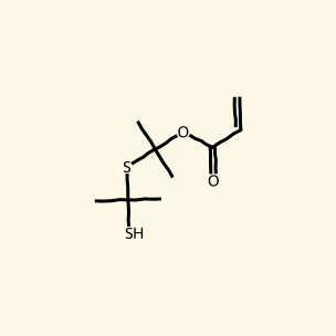 C=CC(=O)OC(C)(C)SC(C)(C)S